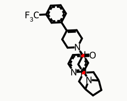 O=C(CN1CC2CCC(C1)N2c1cnccn1)N1CC=C(c2cccc(C(F)(F)F)c2)CC1